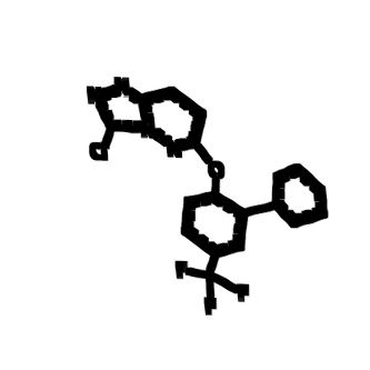 FC(F)(F)c1ccc(Oc2ccc3nnc(Cl)n3n2)c(-c2ccccc2)c1